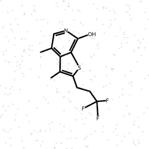 Cc1cnc(O)c2sc(CCC(F)(F)F)c(C)c12